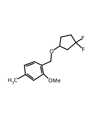 COc1cc(C)ccc1COC1CCC(F)(F)C1